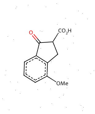 COc1cccc2c1CC(C(=O)O)C2=O